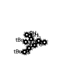 CC(C)(C)c1ccc(N2B3c4cc5c(cc4-n4c6ccc7c8ccccc8oc7c6c6ccc(c3c64)-c3cc4sc6ccc(C(C)(C)C)cc6c4cc32)C(C)(C)c2ccccc2-5)cc1